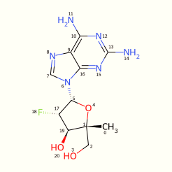 C[C@]1(CO)O[C@@H](n2cnc3c(N)nc(N)nc32)[C@@H](F)[C@@H]1O